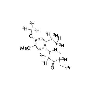 [2H]C([2H])([2H])Oc1cc2c(cc1OC)C1N(CC([2H])(CC(C)C)C(=O)C1([2H])[2H])C([2H])([2H])C2([2H])[2H]